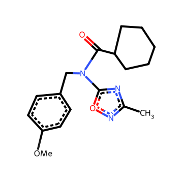 COc1ccc(CN(C(=O)C2CCCCC2)c2nc(C)no2)cc1